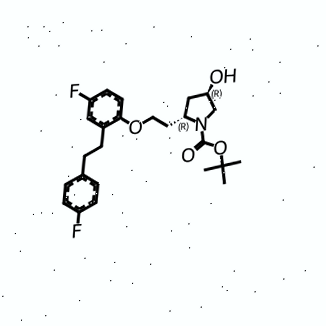 CC(C)(C)OC(=O)N1C[C@H](O)C[C@H]1CCOc1ccc(F)cc1CCc1ccc(F)cc1